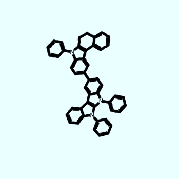 c1ccc(-n2c3c(c4cc(-c5ccc6c(c5)c5c7ccccc7n(-c7ccccc7)c5n6-c5ccccc5)ccc42)-c2ccccc2CC3)cc1